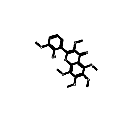 COc1cccc(-c2oc3c(OC)c(OC)c(OC)c(OC)c3c(=O)c2OC)c1O